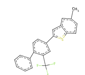 Cc1ccc2sc(-c3ccc(-c4ccccc4)c(C(F)(F)F)c3)cc2c1